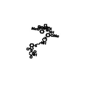 COc1cc(N2CCC(NCCCSc3cccc4c3CN(C3CCC(=O)NC3=O)C4=O)CC2)ccc1Nc1ncc(Cl)c(Nc2ccccc2P(=O)(OC)OC)n1